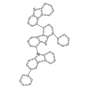 c1ccc(-c2ccc3c(c2)c2ccccc2n3-c2cccc3c2sc2c(-c4ccccc4)ccc(-c4cccc5sc6ccccc6c45)c23)cc1